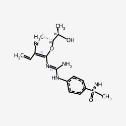 C=C/C(Br)=C(\N=C(/N)Nc1ccc(S(C)(=N)=O)cc1)O[C@H](C)[C@@H](C)O